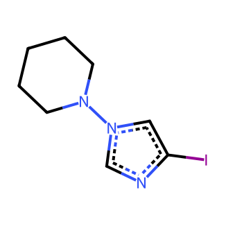 Ic1cn(N2CCCCC2)cn1